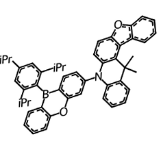 CC(C)c1cc(C(C)C)c(B2c3ccccc3Oc3cc(N4c5ccccc5C(C)(C)c5c4ccc4oc6ccccc6c54)ccc32)c(C(C)C)c1